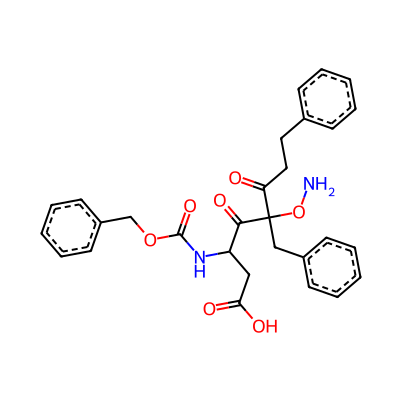 NOC(Cc1ccccc1)(C(=O)CCc1ccccc1)C(=O)C(CC(=O)O)NC(=O)OCc1ccccc1